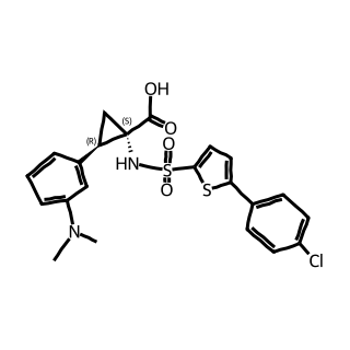 CN(C)c1cccc([C@H]2C[C@@]2(NS(=O)(=O)c2ccc(-c3ccc(Cl)cc3)s2)C(=O)O)c1